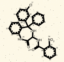 O=C(NC1NC(c2ccccc2)(c2cccc(Cl)c2)c2ccccc2NC1=O)c1ccccc1[N+](=O)[O-]